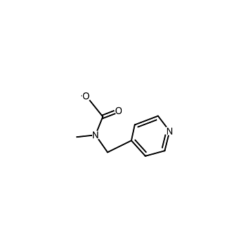 CN(Cc1ccncc1)C([O])=O